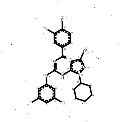 O=C(/N=C(/Nc1cc(F)cc(Cl)c1)Nc1cc(C(F)(F)F)nn1C1CCCCC1)c1ccc(F)c(F)c1